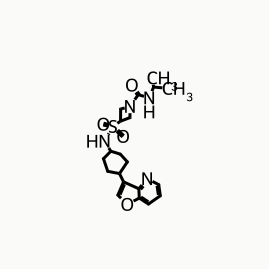 CC(C)NC(=O)N1CC(S(=O)(=O)NC2CCC(c3coc4cccnc34)CC2)C1